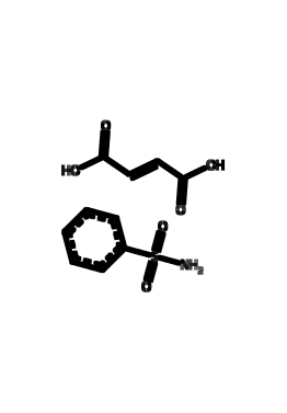 NS(=O)(=O)c1ccccc1.O=C(O)C=CC(=O)O